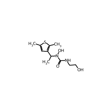 Cc1cc(C(C)N(O)C(=O)NCCO)c(C)s1